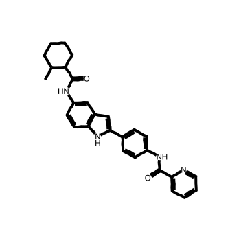 CC1CCCCC1C(=O)Nc1ccc2[nH]c(-c3ccc(NC(=O)c4ccccn4)cc3)cc2c1